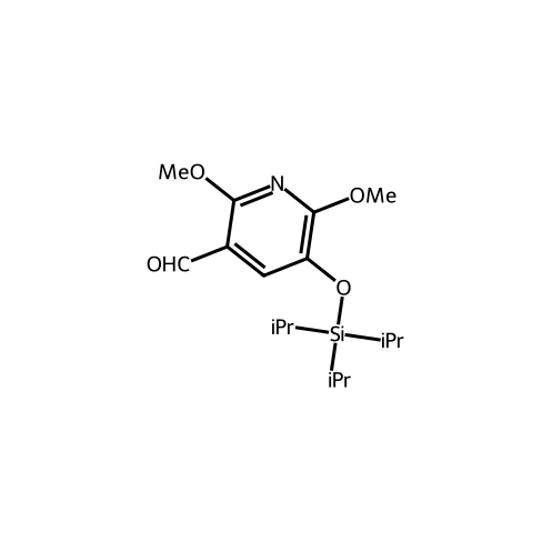 COc1nc(OC)c(O[Si](C(C)C)(C(C)C)C(C)C)cc1C=O